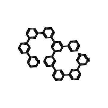 c1ccc(-c2cc(-c3cccc(-c4cccc(-c5cccc(-c6cccnc6)c5)c4)c3)cc(-c3cccc(-c4cccc(-c5cccc(-c6cncnc6)c5)c4)c3)c2)cc1